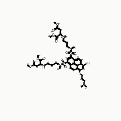 COC(=O)CC(NCCCN(C)S(=O)(=O)c1cc(S(=O)(=O)N(C)CCCNC(CC(=O)OC)C(=O)OC)c2ccc3c(OCCCN(C)C)cc(N)c4ccc1c2c43)C(=O)OC